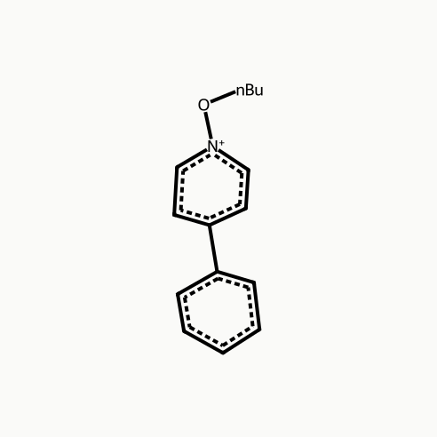 CCCCO[n+]1ccc(-c2ccccc2)cc1